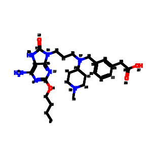 CCCCOc1nc(N)c2[nH]c(=O)n(CCCN(Cc3cccc(CC(=O)O)c3)C3CCN(C)CC3)c2n1